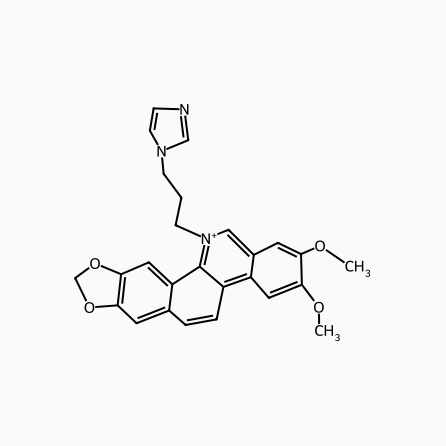 COc1cc2c[n+](CCCn3ccnc3)c3c4cc5c(cc4ccc3c2cc1OC)OCO5